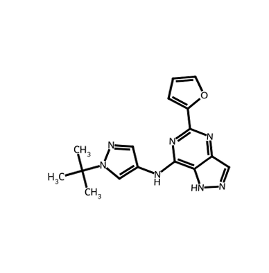 CC(C)(C)n1cc(Nc2nc(-c3ccco3)nc3cn[nH]c23)cn1